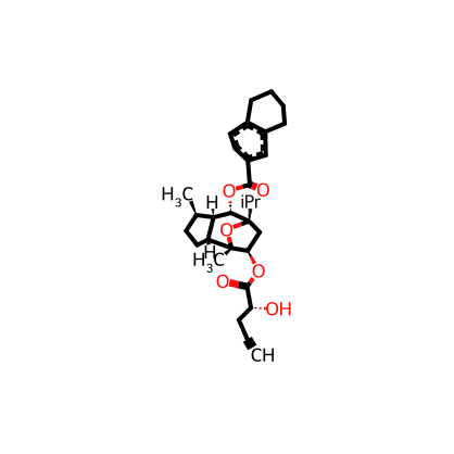 C#CC[C@@H](O)C(=O)O[C@@H]1C[C@]2(C(C)C)O[C@@]1(C)[C@@H]1CC[C@@H](C)[C@H]1[C@@H]2OC(=O)c1ccc2c(c1)CCCC2